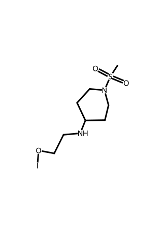 CS(=O)(=O)N1CCC(NCCOI)CC1